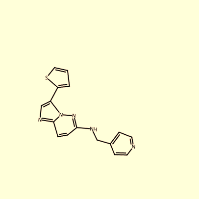 c1csc(-c2cnc3ccc(NCc4ccncc4)nn23)c1